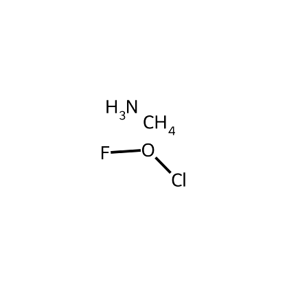 C.FOCl.N